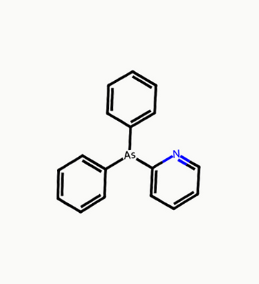 c1ccc([As](c2ccccc2)c2ccccn2)cc1